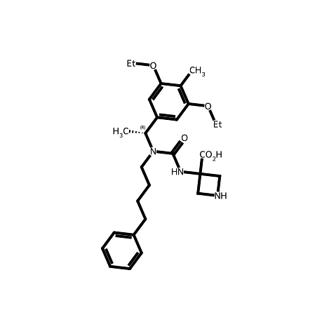 CCOc1cc([C@@H](C)N(CCCCc2ccccc2)C(=O)NC2(C(=O)O)CNC2)cc(OCC)c1C